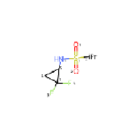 CC(C)S(=O)(=O)NC1CC1(F)F